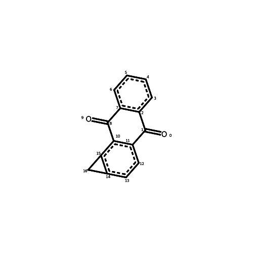 O=C1c2ccccc2C(=O)c2c1ccc1c2C1